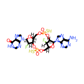 Nc1ncnc2c1ncn2C1O[C@@H]2COP(=O)(S)O[C@H]3[C@@H](F)[C@H](n4cnc5c(=O)[nH]cnc54)O[C@@H]3COP(=O)(S)O[C@@H]1[C@H]2F